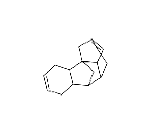 C1=CCC2C(C1)C1CC23CC2=CC3C1C2